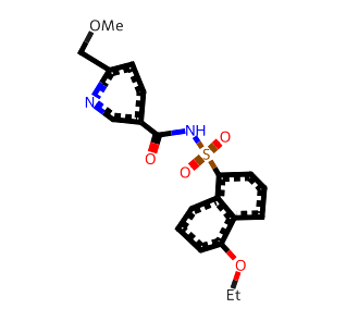 CCOc1cccc2c(S(=O)(=O)NC(=O)c3ccc(COC)nc3)cccc12